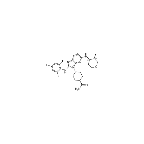 C[C@H]1COCC[C@H]1Nc1ncc2nc(Nc3c(F)cc(F)cc3F)n([C@H]3CC[C@H](C(N)=O)CC3)c2n1